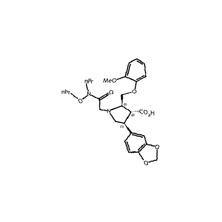 CCCON(CCC)C(=O)CN1C[C@H](c2ccc3c(c2)OCO3)[C@@H](C(=O)O)[C@@H]1COc1ccccc1OC